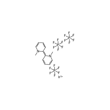 CN1C=CC=CC1=C1C=CC=CN1C.F[P-](F)(F)(F)(F)F.F[P-](F)(F)(F)(F)F.F[P-](F)(F)(F)(F)F.[Ir+3]